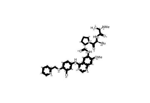 CN[C@@H](C)C(=O)N[C@H](C(=O)N1CCC[C@H]1C(=O)Nc1cc2c(Nc3ccc(OCc4ccccn4)c(Cl)c3)ncnc2cc1OC)C(C)(C)C